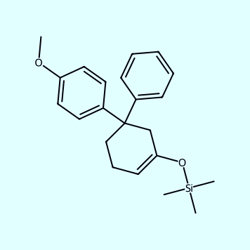 COc1ccc(C2(c3ccccc3)CCC=C(O[Si](C)(C)C)C2)cc1